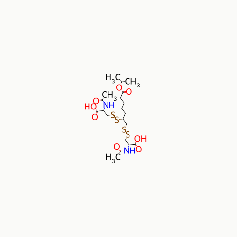 CC(=O)NC(CSSCC(CCCCC(=O)OC(C)C)SSCC(NC(C)=O)C(=O)O)C(=O)O